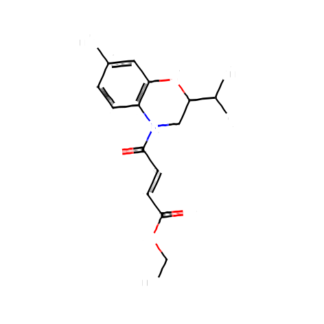 CCOC(=O)/C=C/C(=O)N1CC(C(C)C)Oc2cc(C)ccc21